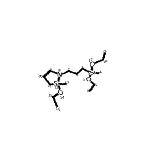 CCO[Si](C)(CCCN1CCC[Si]1(C)OCC)OCC